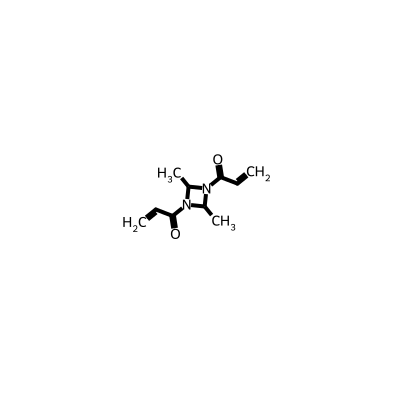 C=CC(=O)N1C(C)N(C(=O)C=C)C1C